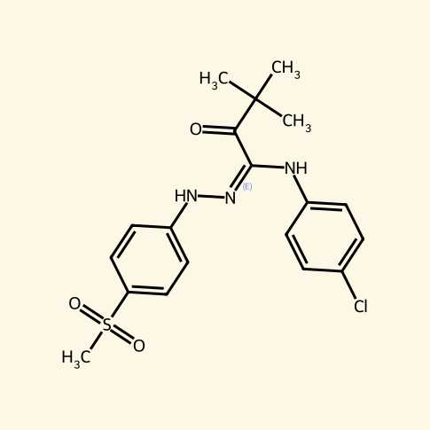 CC(C)(C)C(=O)/C(=N\Nc1ccc(S(C)(=O)=O)cc1)Nc1ccc(Cl)cc1